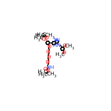 COc1ccc(CNc2cnnc3cc(-c4cc(B5OC(C)(C)C(C)(C)O5)ccc4OCCOCCOCCOCCNC(=O)OC(C)(C)C)ccc23)c(OC)c1